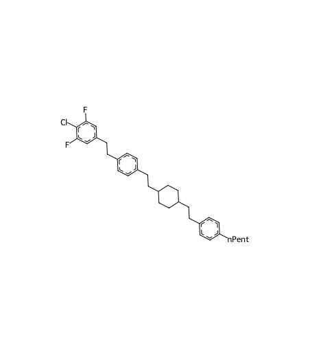 CCCCCc1ccc(CCC2CCC(CCc3ccc(CCc4cc(F)c(Cl)c(F)c4)cc3)CC2)cc1